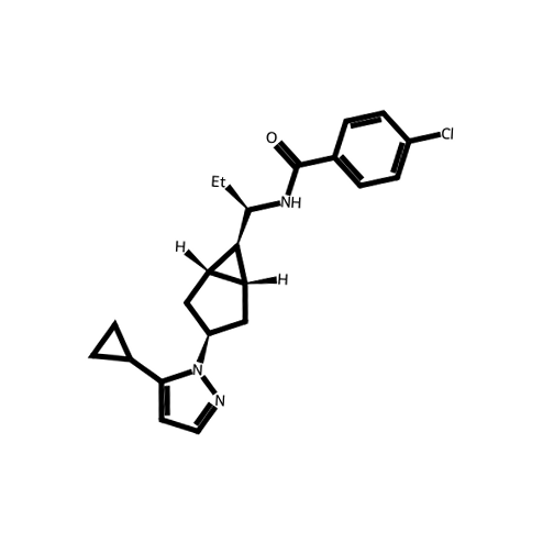 CC[C@@H](NC(=O)c1ccc(Cl)cc1)[C@H]1[C@@H]2C[C@@H](n3nccc3C3CC3)C[C@@H]21